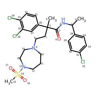 CC(NC(=O)C(C)(CCN1CCCN(S(C)(=O)=O)CC1)c1ccc(Cl)c(Cl)c1)c1ccc(Cl)cc1